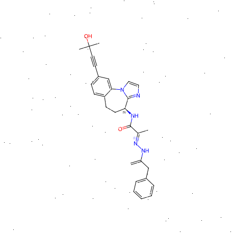 C=C(Cc1ccccc1)N/N=C(\C)C(=O)N[C@H]1CCc2ccc(C#CC(C)(C)O)cc2-n2ccnc21